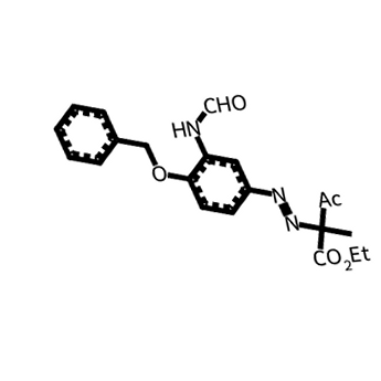 CCOC(=O)C(C)(/N=N/c1ccc(OCc2ccccc2)c(NC=O)c1)C(C)=O